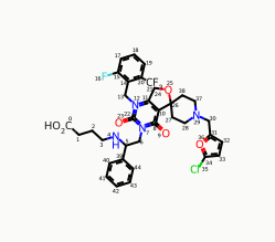 O=C(O)CCCNC(Cn1c(=O)c2c(n(Cc3c(F)cccc3C(F)(F)F)c1=O)COC21CCN(Cc2ccc(Cl)o2)CC1)c1ccccc1